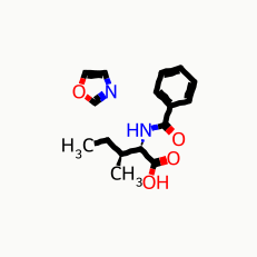 CC[C@H](C)[C@H](NC(=O)c1ccccc1)C(=O)O.c1cocn1